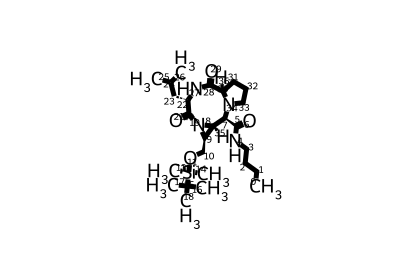 CCCCNC(=O)[C@H]1[C@@H]2[C@@H](CO[Si](C)(C)C(C)(C)C)N2C(=O)[C@H](CC(C)C)NC(=O)[C@@H]2CCCN21